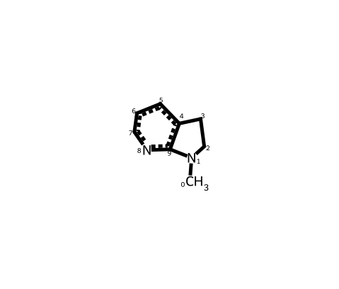 CN1CCc2c[c]cnc21